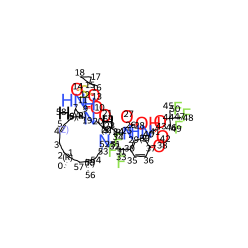 C[C@@H]1CC/C=C\[C@@H]2C[C@@]2(C(=O)NS(=O)(=O)C2(C)CC2)NC(=O)[C@@H]2C[C@@H](N(C(=O)O)C3=C(C(F)(F)F)C=CC(=O)[C@H]3NC(=O)OC(C)(C)C(F)(F)F)CN2CC[C@H](C)C1